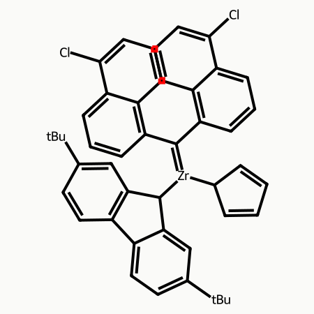 CC(C)(C)c1ccc2c(c1)[CH]([Zr](=[C](c1cccc3c(Cl)cccc13)c1cccc3c(Cl)cccc13)[CH]1C=CC=C1)c1cc(C(C)(C)C)ccc1-2